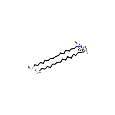 CCCCCCCCCCCCCCCCCC[N+](C)(C)C.[CH2]CCCCCCCCCCCCCCCCC